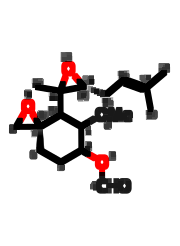 COC1C(OC=O)CC[C@]2(CO2)C1C1(C)O[C@@H]1CC=C(C)C